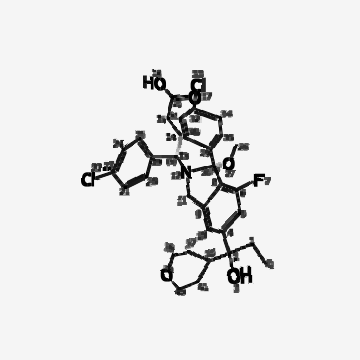 CCC(O)(c1cc(F)c2c(c1)CN([C@@H](CCC(=O)O)c1ccc(Cl)cc1)[C@@]2(OC)c1ccc(Cl)cc1)C1CCOCC1